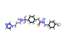 CC(C)(NCCCn1ccnc1)c1ccc(CC(=O)NCc2ccc(Cl)cc2)cc1